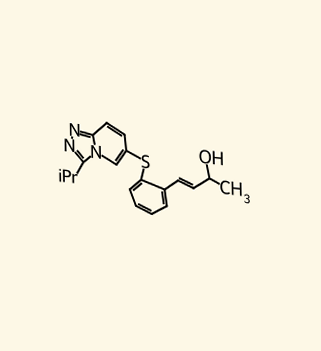 CC(O)C=Cc1ccccc1Sc1ccc2nnc(C(C)C)n2c1